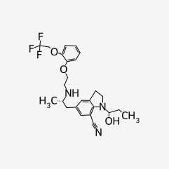 CCC(O)N1CCc2cc(C[C@H](C)NCCOc3ccccc3OCC(F)(F)F)cc(C#N)c21